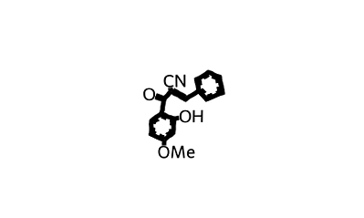 COc1ccc(C(=O)C(C#N)=Cc2ccccc2)c(O)c1